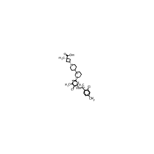 Cc1ccc([C@@H](C)Nc2nc(N3CCC[C@H](C4CCN([C@H]5C[C@](C)(C(=O)O)C5)CC4)C3)nc(C)c2Cl)c(Cl)c1